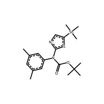 Cc1cc(C)cc(N(C(=O)OC(C)(C)C)c2nc[c]([Sn]([CH3])([CH3])[CH3])s2)c1